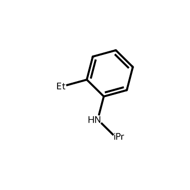 CCc1ccccc1NC(C)C